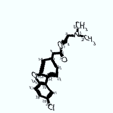 CN(C)CCOC(=O)Cc1ccc2c(c1)oc1ccc(Cl)cc12